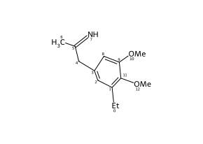 CCc1cc(CC(C)=N)cc(OC)c1OC